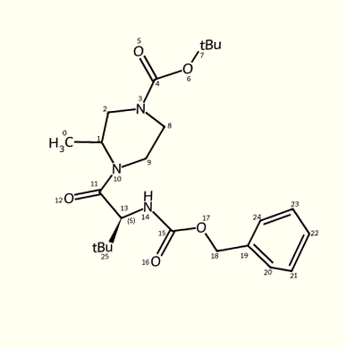 CC1CN(C(=O)OC(C)(C)C)CCN1C(=O)[C@@H](NC(=O)OCc1ccccc1)C(C)(C)C